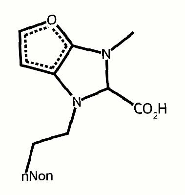 CCCCCCCCCCCN1c2ccoc2N(C)C1C(=O)O